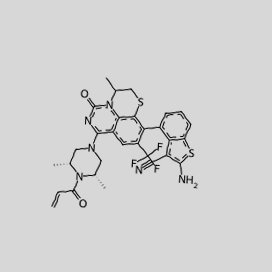 C=CC(=O)N1[C@H](C)CN(c2nc(=O)n3c4c(c(-c5cccc6sc(N)c(C#N)c56)c(C(F)(F)F)cc24)SCC3C)C[C@@H]1C